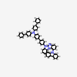 c1ccc(-c2ccc(N(c3ccc(-c4ccccc4)cc3)c3ccc(-c4ccc(-n5c6ccccc6n6c7c(-n8c9ccccc9c9ccccc98)cccc7nc56)cc4)cc3)cc2)cc1